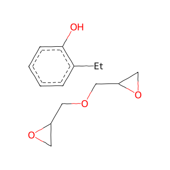 C(OCC1CO1)C1CO1.CCc1ccccc1O